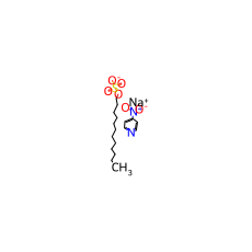 CCCCCCCCCCCCOS(=O)(=O)[O-].O=[N+]([O-])c1ccncc1.[Na+]